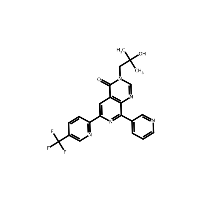 CC(C)(O)Cn1cnc2c(-c3cccnc3)nc(-c3ccc(C(F)(F)F)cn3)cc2c1=O